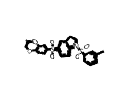 Cc1cccc(S(=O)(=O)N2CCc3cc(S(=O)(=O)c4ccc5c(c4)OCCO5)ccc32)c1